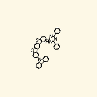 c1ccc(C2=NC(c3ccc4sc5cc6oc7ccc(-n8c9ccccc9c9ccccc98)cc7c6cc5c4c3)NC(c3ccccc3)=N2)cc1